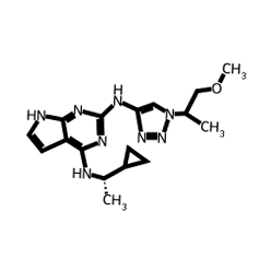 COCC(C)n1cc(Nc2nc(N[C@@H](C)C3CC3)c3cc[nH]c3n2)nn1